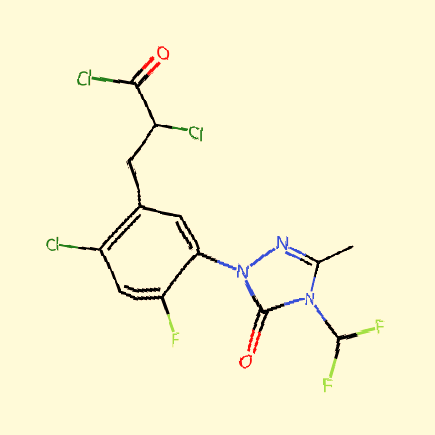 Cc1nn(-c2cc(CC(Cl)C(=O)Cl)c(Cl)cc2F)c(=O)n1C(F)F